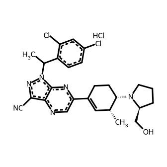 CC(c1ccc(Cl)cc1Cl)n1nc(C#N)c2ncc(C3=C[C@@H](C)[C@@H](N4CCC[C@H]4CO)CC3)nc21.Cl